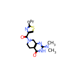 CCCc1nc(C(=O)N2CCc3c(nc(N(C)C)[nH]c3=O)C2)cs1